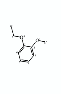 [CH2]Oc1ccccc1OCC